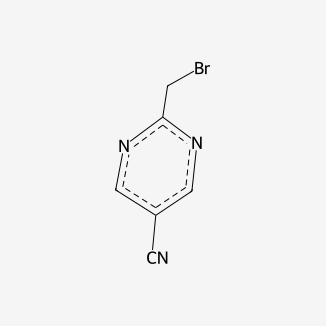 N#Cc1cnc(CBr)nc1